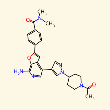 CC(=O)N1CCC(n2cc(-c3cnc(N)c4oc(-c5ccc(C(=O)N(C)C)cc5)cc34)cn2)CC1